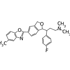 Cc1ccc2oc(-c3ccc4c(c3)COC4C(CCN(C)C)c3ccc(F)cc3)nc2c1